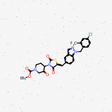 CC(C)(C)OC(=O)N1CCC(N2C(=O)SC(=Cc3ccc4c(cnn4Cc4ccc(Cl)cc4C(F)(F)F)c3)C2=O)C(=O)C1